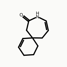 O=C1CC2(C=CCCC2)CC=CN1